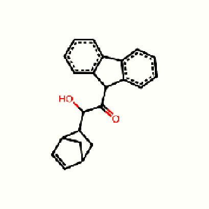 O=C(C1c2ccccc2-c2ccccc21)C(O)C1CC2C=CC1C2